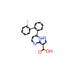 O=C(O)c1cnn2c(-c3ccccc3-c3ccccc3F)ccnc12